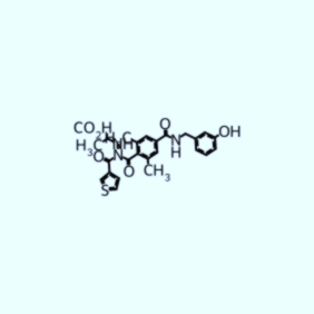 Cc1cc(C(=O)NCc2cccc(O)c2)cc(C)c1C(=O)N(N[C@@H](C)C(=O)O)C(=O)c1ccsc1